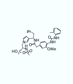 COc1cc(CC(=O)NC(CC(C)C)c2ccn(CC(NS(C)(=O)=O)C(=O)O)c2)ccc1NC(=O)Nc1ccccc1C